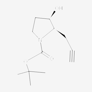 C#CC[C@@H]1[C@H](O)CCN1C(=O)OC(C)(C)C